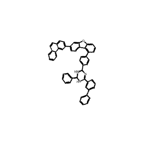 c1ccc(-c2cccc(C3=NC(c4ccc(-c5cccc6oc7cc(-c8ccc9ccc%10ccccc%10c9c8)ccc7c56)cc4)NC(c4ccccc4)N3)c2)cc1